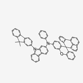 CC1(C)c2ccccc2-c2ccc(-n3c4ccccc4c4ccc(N(c5ccccc5)c5ccc6c(c5)Oc5ccccc5C65c6ccccc6-c6cccc7cccc5c67)cc43)cc21